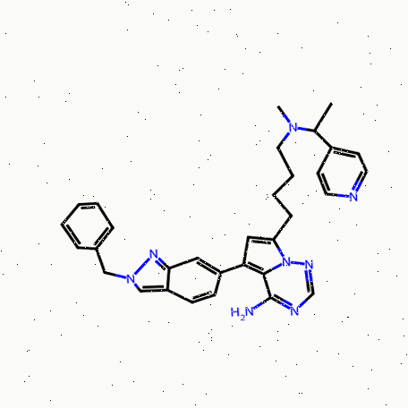 CC(c1ccncc1)N(C)CCCCc1cc(-c2ccc3cn(Cc4ccccc4)nc3c2)c2c(N)ncnn12